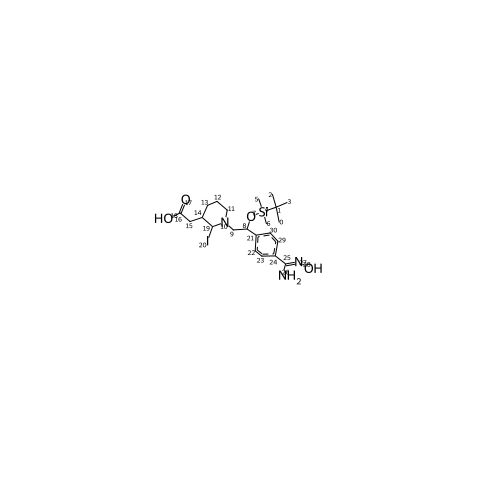 CC(C)(C)[Si](C)(C)OC(CN1CCCC(CC(=O)O)C1I)c1ccc(C(N)=NO)cc1